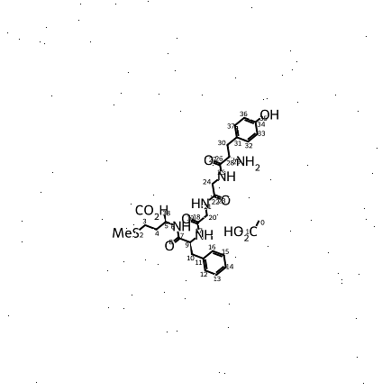 CC(=O)O.CSCC[C@H](NC(=O)[C@H](Cc1ccccc1)NC(=O)CNC(=O)CNC(=O)[C@@H](N)Cc1ccc(O)cc1)C(=O)O